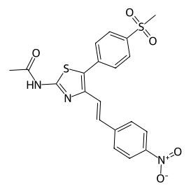 CC(=O)Nc1nc(/C=C/c2ccc([N+](=O)[O-])cc2)c(-c2ccc(S(C)(=O)=O)cc2)s1